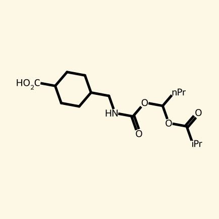 CCCC(OC(=O)NCC1CCC(C(=O)O)CC1)OC(=O)C(C)C